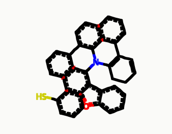 Sc1ccccc1-c1cccc(-c2ccccc2N(C2=C(c3ccccc3)C=CCC2)c2cccc3oc4ccccc4c23)c1